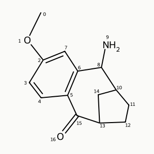 COc1ccc2c(c1)C(N)C1CCC(C1)C2=O